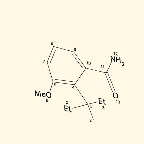 CCC(C)(CC)c1c(OC)cccc1C(N)=O